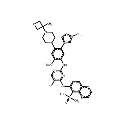 COc1cc(N2CCN(C3(C)COC3)CC2)c(-c2cnn(C)c2)cc1Nc1ncc(Br)c(Nc2ccc3nccnc3c2P(C)(C)=O)n1